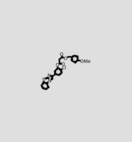 COc1ccc(COC(=O)CC(=O)Oc2cc(-c3cn4c(n3)sc3ccccc34)ccc2Cl)cc1